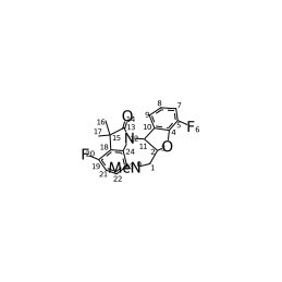 CNCC1Oc2c(F)cccc2C1N1C(=O)C(C)(C)c2c(F)cccc21